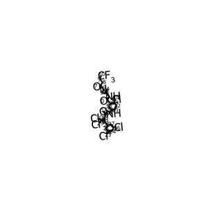 O=C(NC1CN(C(=O)CCC(F)(F)F)C1)c1cc(NC(=O)C2C(c3cc(Cl)cc(Cl)c3)C2(Cl)Cl)ccc1Cl